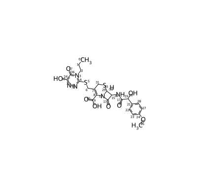 CCCn1c(SCC2=C(C(=O)O)N3C(=O)C(NC(=O)C(O)c4ccc(OC)cc4)[C@@H]3SC2)nnc(O)c1=O